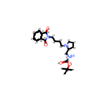 CC(C)(C)OC(=O)NCC1CCCN1CCCCN1C(=O)c2ccccc2C1=O